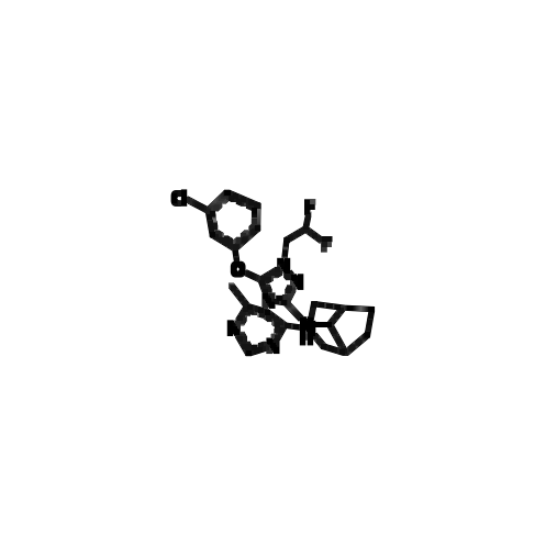 Cc1cc(N2CC3CCC(C2)C3Nc2nc(Oc3cccc(Cl)c3)n(CC(F)F)n2)ncn1